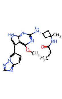 CCC(=O)N[C@]1(C)C[C@H](Nc2nc(OC)c3c(-c4ccc5ncnn5c4)c[nH]c3n2)C1